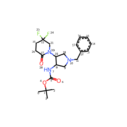 CC(C)(C)OC(=O)NC1CN(Cc2ccccc2)CC1N1CC(F)(F)CCC1=O